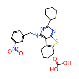 O=C(O)O.O=[N+]([O-])c1cccc(CNc2nc(C3CCCCC3)nc3sc4c(c23)CCCC4)c1